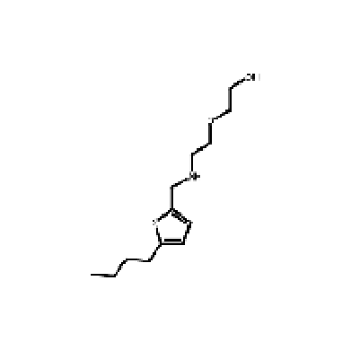 CCCCc1ccc(CNCCOCCO)s1